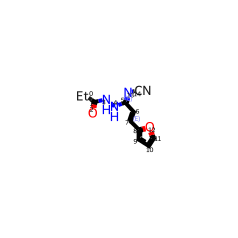 CCC(=O)NNC(/C=C/c1ccco1)=N/C#N